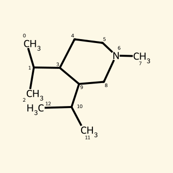 CC(C)C1CCN(C)CC1C(C)C